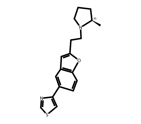 C[C@@H]1CCCN1CCc1cc2cc(-c3cscn3)ccc2o1